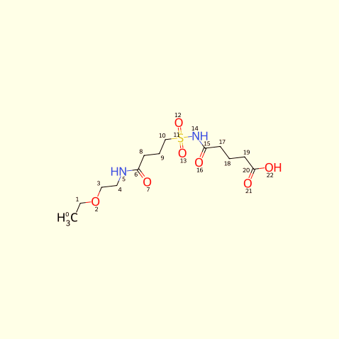 CCOCCNC(=O)CCCS(=O)(=O)NC(=O)CCCC(=O)O